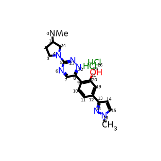 CNC1CCN(c2ncc(-c3ccc(-c4ccn(C)n4)cc3O)nn2)C1.Cl.Cl